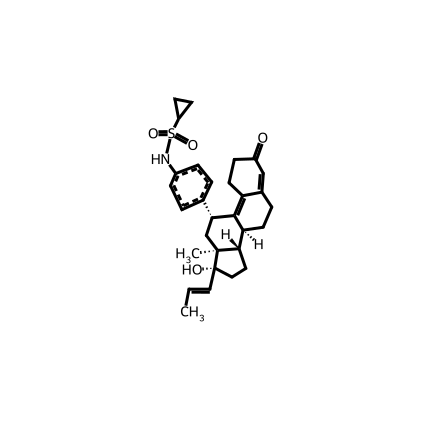 CC=C[C@]1(O)CC[C@H]2[C@@H]3CCC4=CC(=O)CCC4=C3[C@@H](c3ccc(NS(=O)(=O)C4CC4)cc3)C[C@@]21C